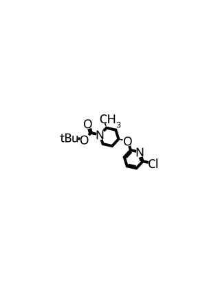 C[C@@H]1C[C@H](Oc2cccc(Cl)n2)CCN1C(=O)OC(C)(C)C